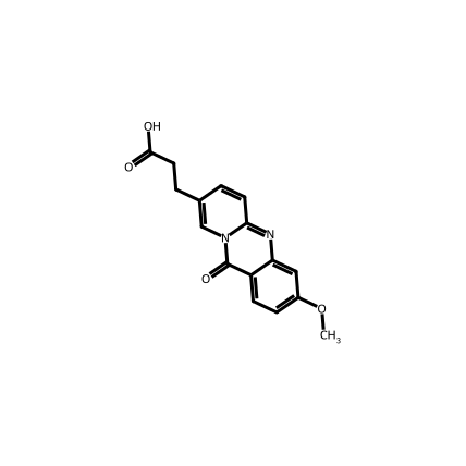 COc1ccc2c(=O)n3cc(CCC(=O)O)ccc3nc2c1